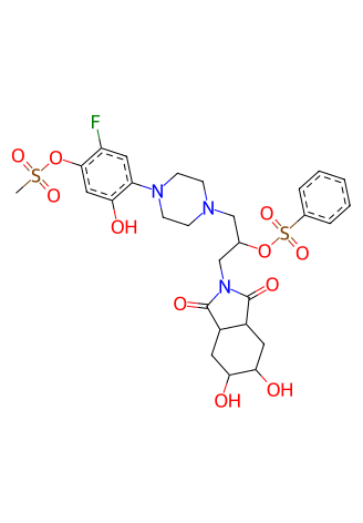 CS(=O)(=O)Oc1cc(O)c(N2CCN(CC(CN3C(=O)C4CC(O)C(O)CC4C3=O)OS(=O)(=O)c3ccccc3)CC2)cc1F